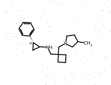 CC1CCN(CC2(CNC3C[C@@H]3c3ccccc3)CCC2)C1